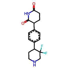 O=C1CCC(c2ccc(C3CCNCC3(F)F)cc2)C(=O)N1